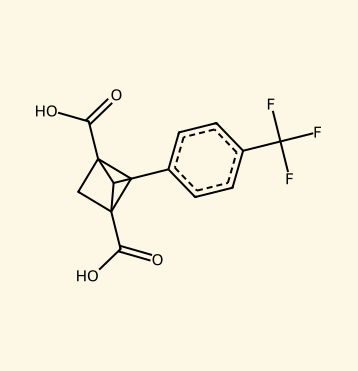 O=C(O)C12CC(C(=O)O)(C1)C2c1ccc(C(F)(F)F)cc1